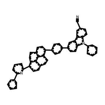 N#Cc1ccc2c(c1)c1cc(-c3ccc(-c4ccc5ccc6c(-c7cccc(-c8ccccc8)n7)ccc7ccc4c5c76)cc3)ccc1n2-c1ccccc1